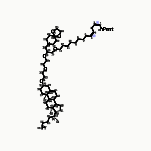 CCCCC/C=C\C/C=C\CCCCCCCCOCC(CN1CCC2(CC1)OCCO2)OCCOCCO[C@H]1CC[C@@]2(C)C(=CCC3C2CC[C@@]2(C)C3CC[C@@H]2[C@H](C)CCCC(C)C)C1